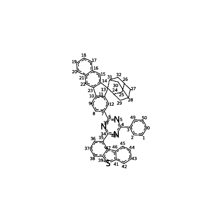 c1ccc(-c2nc(-c3ccc4c(c3)C3(c5cc6ccccc6cc5-4)C4CC5CC(C4)CC3C5)nc(-c3cccc4sc5ccccc5c34)n2)cc1